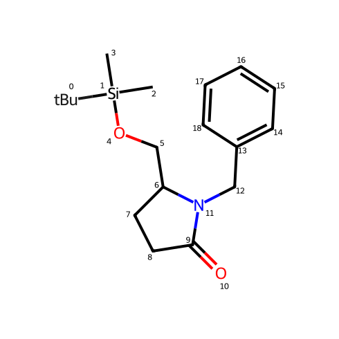 CC(C)(C)[Si](C)(C)OCC1CCC(=O)N1Cc1ccccc1